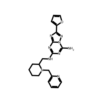 Nc1nc(NCC2CCCCN2Cc2ccccn2)nc2nc(-c3ccco3)nn12